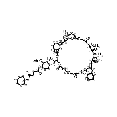 CO[C@@H]1C[C@H](C[C@@H](C)[C@@H]2CC(=O)NCCNC(=O)CN(C)C(=O)[C@H](Cc3ccccc3)NC(=O)[C@H](CC(C)C)N(C)C(=O)[C@H](C)NC(=O)CC[C@@H]3CC[C@@H](C)[C@@](O)(O3)C(=O)C(=O)N3CCCC[C@H]3C(=O)O2)CC[C@H]1OC(=O)CCC(=O)OC1CCCCCC1